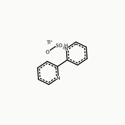 O=S(=O)([O-])O.[Tl+].c1ccc(-c2ccccn2)nc1